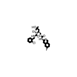 CCN(C(=O)NCc1ccccc1Cl)[C@H](COC(=O)Nc1cc2cc(F)ccc2cn1)CC(C)(C)O